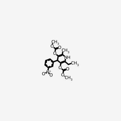 CCC1=C(OC(=O)OC)C(c2cccc([N+](=O)[O-])c2)C(OC(=O)OC)=C(C)N1